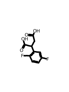 O=C(O)CC(C(=O)O)c1cc(F)ccc1F